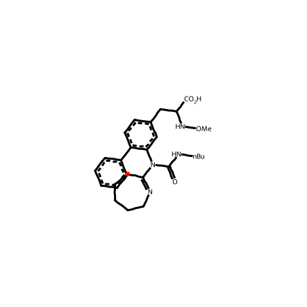 CCCCNC(=O)N(C1=NCCCCC1)c1cc(CC(NOC)C(=O)O)ccc1-c1ccccc1